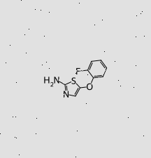 Nc1ncc(Oc2ccccc2F)s1